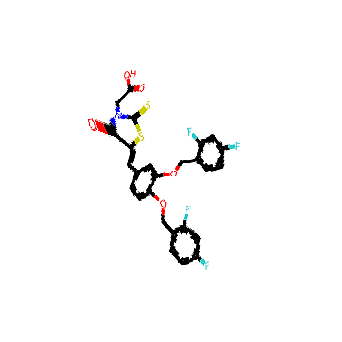 O=C(O)CN1C(=O)C(=Cc2ccc(OCc3ccc(F)cc3F)c(OCc3ccc(F)cc3F)c2)SC1=S